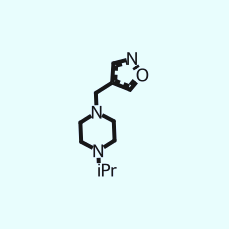 CC(C)N1CCN(Cc2cnoc2)CC1